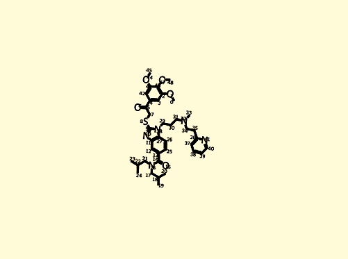 COc1cc(C(=O)CSc2nc3cc(C(=O)N(CC(C)C)CC(C)C)ccc3n2CCCN(C)CCc2ccccn2)cc(OC)c1OC